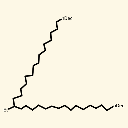 [CH2]CC(CCCCCCCCCCCCCCCCCCCCCCCCC)CCCCCCCCCCCCCCCCCCCCCCCCC